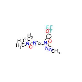 CCN(C(=O)CN1CC2C(C1)C2CN(Cc1cccc(OC(F)(F)F)c1)C(=O)c1cn(C)cn1)C(C)C